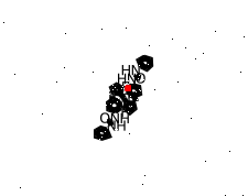 O=C(Nc1ccccc1)Nc1ccc(F)[c]([Ti]([c]2c(F)ccc(NC(=O)Nc3ccccc3)c2F)([CH]2C=CC=C2)[CH]2C=CC=C2)c1F